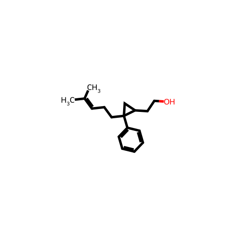 CC(C)=CCCC1(c2ccccc2)CC1CCO